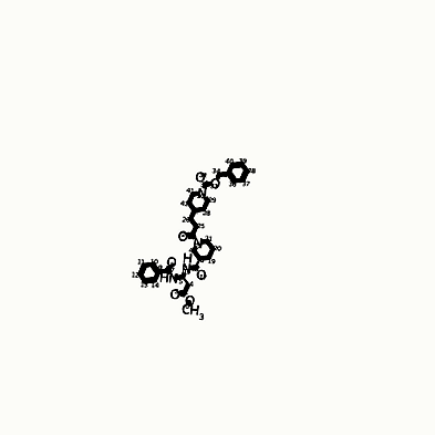 COC(=O)C[C@@H](NC(=O)c1ccccc1)NC(=O)[C@@H]1CCCN(C(=O)CCC2CCN(C(=O)OCc3ccccc3)CC2)C1